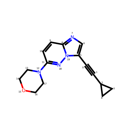 C(#CC1CC1)c1cnc2ccc(N3CCOCC3)nn12